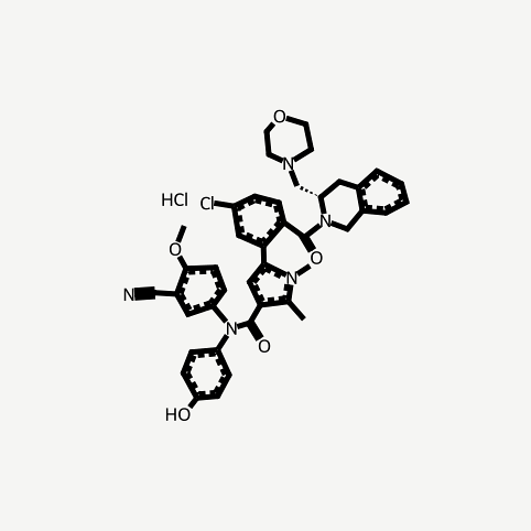 COc1ccc(N(C(=O)c2cc(-c3cc(Cl)ccc3C(=O)N3Cc4ccccc4C[C@H]3CN3CCOCC3)n(C)c2C)c2ccc(O)cc2)cc1C#N.Cl